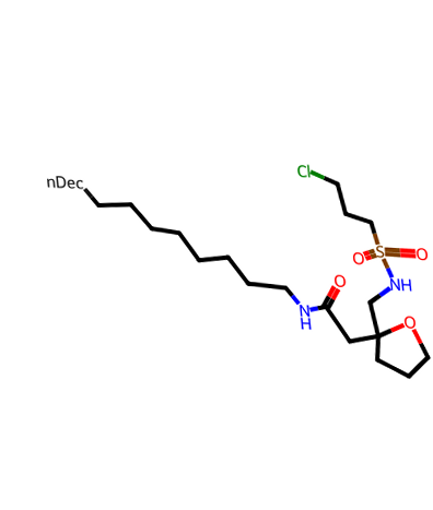 CCCCCCCCCCCCCCCCCCNC(=O)CC1(CNS(=O)(=O)CCCCl)CCCO1